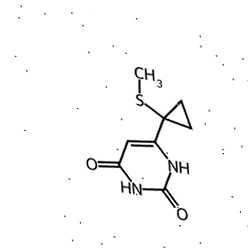 CSC1(c2cc(=O)[nH]c(=O)[nH]2)CC1